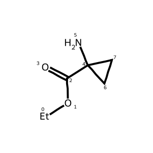 [CH2]COC(=O)C1(N)CC1